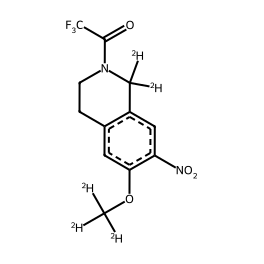 [2H]C([2H])([2H])Oc1cc2c(cc1[N+](=O)[O-])C([2H])([2H])N(C(=O)C(F)(F)F)CC2